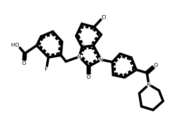 O=C(O)c1cccc(Cn2c(=O)n(-c3ccc(C(=O)N4CCCCC4)cc3)c3cc(Cl)ccc32)c1F